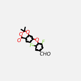 CC1(C)OC(=O)c2ccc(Oc3c(F)cc(C=O)cc3F)cc2O1